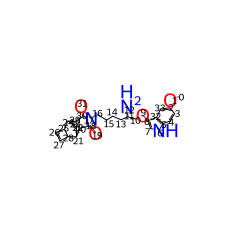 COc1ccc2[nH]cc(OCC(N)CCCCN3C(=O)C4C5C=CC(C6C=CC65)C4C3=O)c2c1